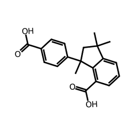 CC1(C)CC(C)(c2ccc(C(=O)O)cc2)c2c(C(=O)O)cccc21